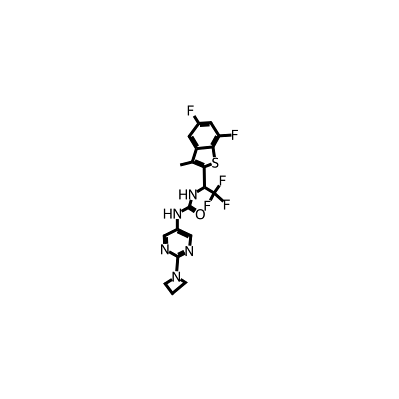 Cc1c(C(NC(=O)Nc2cnc(N3CCC3)nc2)C(F)(F)F)sc2c(F)cc(F)cc12